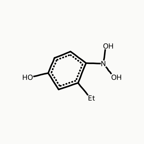 CCc1cc(O)ccc1N(O)O